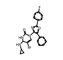 O=C1NC(NC2CC2)C(Br)=CN1c1nc(-c2ccc(F)cc2)oc1-c1ccccc1